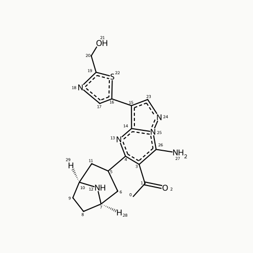 CC(=O)c1c(C2C[C@H]3CC[C@@H](C2)N3)nc2c(-c3cnc(CO)s3)cnn2c1N